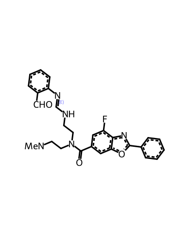 CNCCN(CCN/C=N/c1ccccc1C=O)C(=O)c1cc(F)c2nc(-c3ccccc3)oc2c1